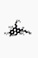 C=C=C/C=C(/c1cc(CNC)c(N)c(C(=O)NCCOCC)c1)C(C)c1ccc(F)c(C)c1